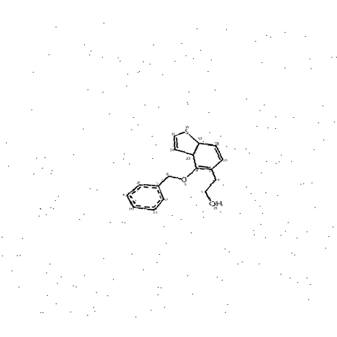 OCCC1=C(OCc2ccccc2)C2C=CSC2C=C1